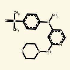 CP(C)(=O)c1ccc(N(N)c2cc(NN3CCOCC3)ncn2)cc1